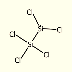 Cl[Si](Cl)[Si](Cl)(Cl)Cl